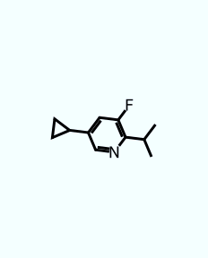 CC(C)c1ncc(C2CC2)cc1F